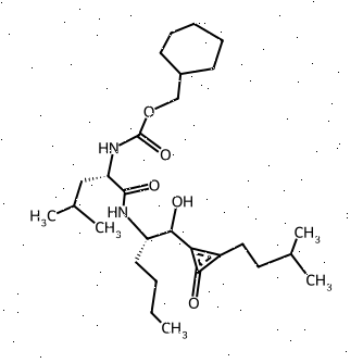 CCCC[C@H](NC(=O)[C@H](CC(C)C)NC(=O)OCC1CCCCC1)C(O)c1c(CCC(C)C)c1=O